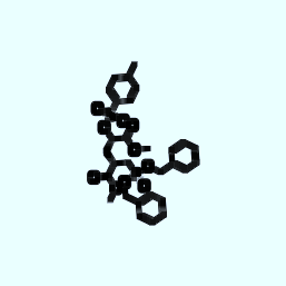 COC(=O)[C@@H](C[C@@H](OS(=O)(=O)c1ccc(C)cc1)C(=O)OC)CP(=O)(OCc1ccccc1)OCc1ccccc1